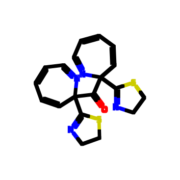 O=C(C1(C2=NCCS2)C=CC=CC=N1)C1(C2=NCCS2)C=CC=CC=N1